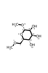 COC[C@H]1O[C@H](OC)[C@@H](O)[C@@H](O)[C@@H]1O